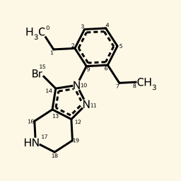 CCc1cccc(CC)c1-n1nc2c(c1Br)CNCC2